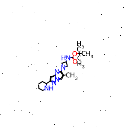 Cc1cn2nc(C3CCCCN3)cc2nc1N1CC(NC(=O)OC(C)(C)C)C1